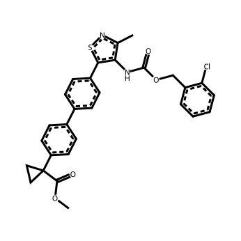 COC(=O)C1(c2ccc(-c3ccc(-c4snc(C)c4NC(=O)OCc4ccccc4Cl)cc3)cc2)CC1